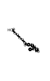 Cc1cc(-c2nc3cnc(C4CCN(C(=O)COCCOCCOCCOCCOCCC(=O)O)CC4)cc3n2C(C)c2ccccc2)nn(C)c1=O